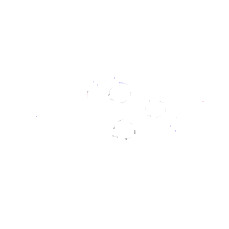 COCCN(C)[C@H]1CC[C@H](CC(=O)Nc2cc(-c3ccccc3)c(-c3ccc([C@]4(N)C[C@](C)(O)C4)cc3)cn2)CC1